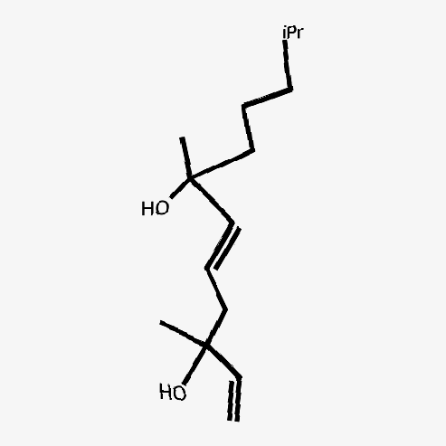 C=CC(C)(O)CC=CC(C)(O)CCCC(C)C